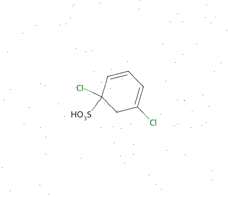 O=S(=O)(O)C1(Cl)C=CC=C(Cl)C1